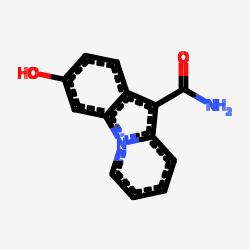 NC(=O)c1c2ccc(O)cc2n2ccccc12